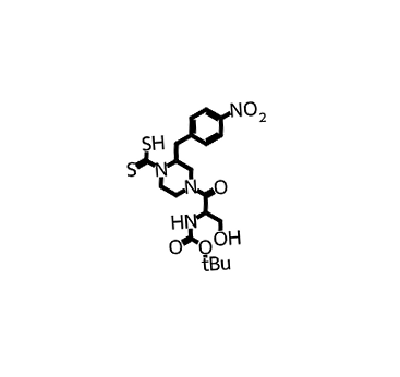 CC(C)(C)OC(=O)NC(CO)C(=O)N1CCN(C(=S)S)C(Cc2ccc([N+](=O)[O-])cc2)C1